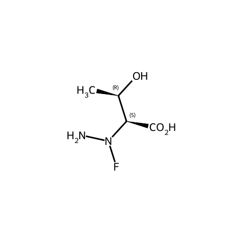 C[C@@H](O)[C@@H](C(=O)O)N(N)F